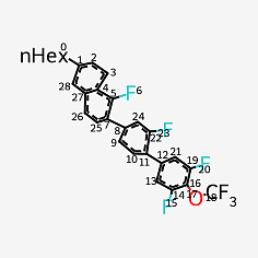 CCCCCCc1ccc2c(F)c(-c3ccc(-c4cc(F)c(OC(F)(F)F)c(F)c4)c(F)c3)ccc2c1